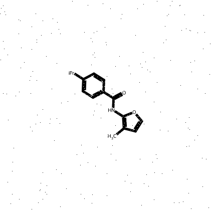 Cc1ccoc1NC(=O)c1ccc(C(C)C)cc1